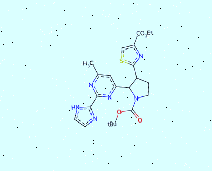 CCOC(=O)c1csc(C2CCN(C(=O)OC(C)(C)C)C2c2cc(C)nc(-c3ncc[nH]3)n2)n1